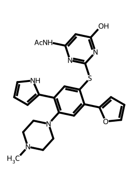 CC(=O)Nc1cc(O)nc(Sc2cc(-c3ccc[nH]3)c(N3CCN(C)CC3)cc2-c2ccco2)n1